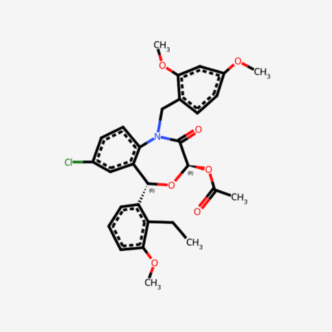 CCc1c(OC)cccc1[C@H]1O[C@H](OC(C)=O)C(=O)N(Cc2ccc(OC)cc2OC)c2ccc(Cl)cc21